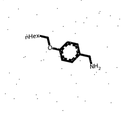 CCCCCCCOc1ccc(CN)cc1